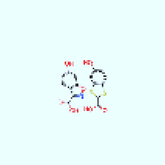 O=C(O)C1Sc2ccc(O)cc2S1.O=C(O)c1noc2cc(O)ccc12